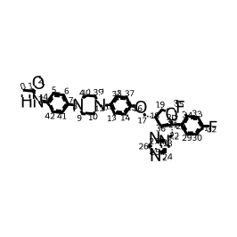 CC(=O)Nc1ccc(N2CCN(c3ccc(OC[C@@H]4CO[C@@](Cn5cncn5)(c5ccc(F)cc5F)C4)cc3)CC2)cc1